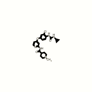 CN1CCC(C(=O)Nc2cc(Oc3ccc(NC(=O)NC4CC4)c(Cl)c3)ccn2)CC1